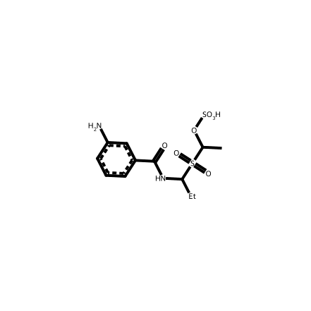 CCC(NC(=O)c1cccc(N)c1)S(=O)(=O)C(C)OS(=O)(=O)O